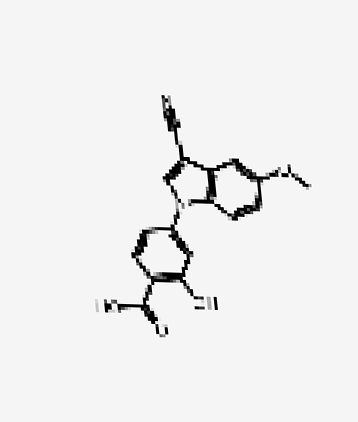 COc1ccc2c(c1)c(C#N)cn2-c1ccc(C(=O)O)c(O)c1